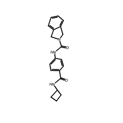 O=C(NC1CCC1)c1ccc(NC(=O)N2Cc3ccccc3C2)cc1